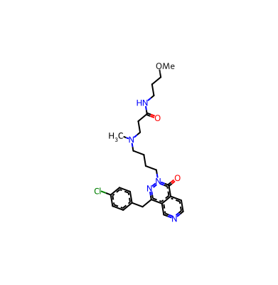 COCCCNC(=O)CCN(C)CCCCn1nc(Cc2ccc(Cl)cc2)c2cnccc2c1=O